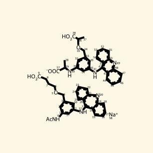 CC(=O)Nc1cc(COCCCC(=O)O)cc(Nc2c3ccccc3nc3ccccc23)c1.CC(Nc1cc(COC(C)C(=O)O)cc(Nc2c3ccccc3nc3ccccc23)c1)C(=O)[O-].[Na+]